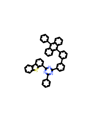 c1ccc(-c2nc(-c3cccc(-c4cccc(-c5c6ccccc6c(-c6ccccc6)c6ccccc56)c4)c3)nc(-c3cccc4c3sc3ccccc34)n2)cc1